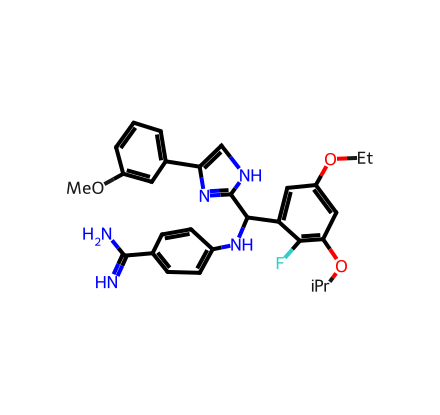 CCOc1cc(OC(C)C)c(F)c(C(Nc2ccc(C(=N)N)cc2)c2nc(-c3cccc(OC)c3)c[nH]2)c1